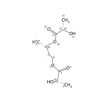 C[C@H](O)C(=O)OCC[C@H](C)OC(=O)[C@H](C)O